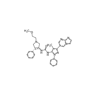 COCCN1C[C@@H](NC(=O)Nc2c(C)c(-c3cnc4nccn4c3)nn2-c2ccccc2)[C@H](c2ccccc2)C1